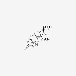 N#CCC1(N2CCN3C[C@H](F)C[C@H]3C2)CN(C(=O)O)C1